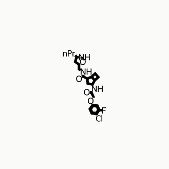 CCCC1CC(CNC(=O)C2C[C@H](NC(=O)COc3ccc(Cl)c(F)c3)C3CCC23)ON1